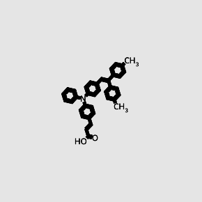 Cc1ccc(C(=Cc2ccc(N(c3ccccc3)c3ccc(/C=C/C(=O)O)cc3)cc2)c2ccc(C)cc2)cc1